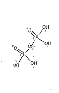 O=[P](O)(O)[Mg][P](=O)(O)O